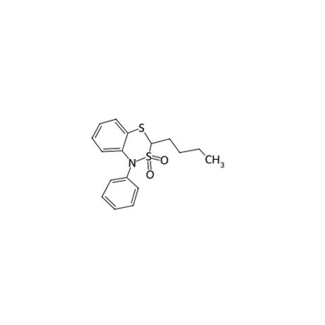 CCCCC1Sc2ccccc2N(c2ccccc2)S1(=O)=O